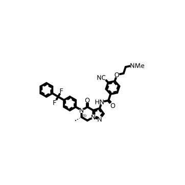 CNCCOc1ccc(C(=O)Nc2cnn3c2C(=O)N(c2ccc(C(F)(F)c4ccccc4)cc2)[C@@H](C)C3)cc1C#N